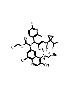 Cc1nc(F)ccc1C(/C(N)=C/N(N)C1(C(F)F)CC1)N(C(=O)OCCl)c1cc(Cl)c2ncc(C#N)c(NCC(C)(C)C)c2c1